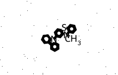 CN1c2ccccc2Sc2ccc(-n3c4c(c5ccccc53)C=CCC4)cc21